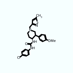 COc1ccc(C2CN(Cc3cc(C)sn3)CC[C@H]2NC(=O)Nc2ccc(Cl)cc2)cc1